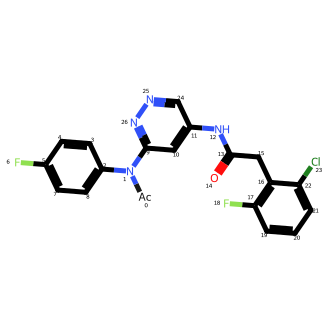 CC(=O)N(c1ccc(F)cc1)c1cc(NC(=O)Cc2c(F)cccc2Cl)cnn1